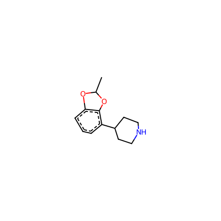 CC1Oc2cccc(C3CCNCC3)c2O1